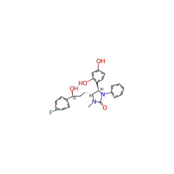 CN1C(=O)N(c2ccccc2)[C@H](c2ccc(O)cc2O)[C@H]1CC[C@H](O)c1ccc(F)cc1